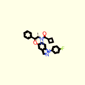 C[C@H](NC(=O)C1CCC1)[C@@H](Oc1ccc2c(cnn2-c2ccc(F)cc2)c1)c1ccccc1